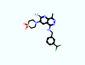 Cc1nnc(NCc2cccc(C(F)F)c2)c2cc(N3CCS(=O)(=O)CC3)c(C(F)(F)F)nc12